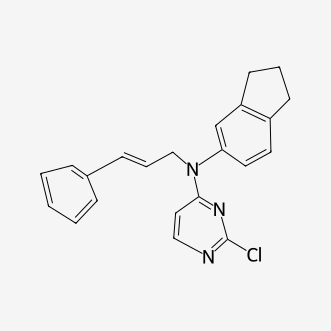 Clc1nccc(N(CC=Cc2ccccc2)c2ccc3c(c2)CCC3)n1